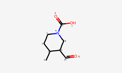 CC1CCN(C(=O)O)CC1C=O